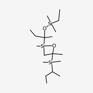 CCC(C)[Si](C)(C)C1(C)C[Si](C)(C(C)(CC)O[Si](C)(C)CC)O1